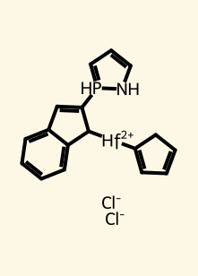 C1=CC[C]([Hf+2][CH]2C([PH]3=CC=CN3)=Cc3ccccc32)=C1.[Cl-].[Cl-]